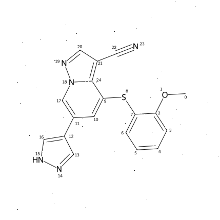 COc1ccccc1Sc1cc(-c2cn[nH]c2)cn2ncc(C#N)c12